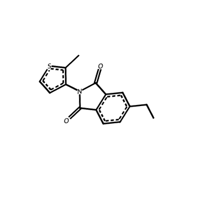 CCc1ccc2c(c1)C(=O)N(c1ccsc1C)C2=O